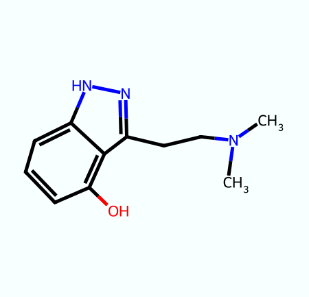 CN(C)CCc1n[nH]c2cccc(O)c12